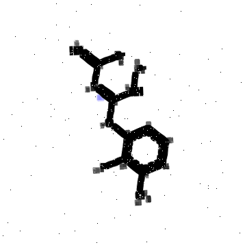 CC(C)N/C(=N\C(=N)Br)Oc1cccc(C(F)(F)F)c1F